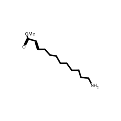 COC(=O)/C=C/CCCCCCCCCN